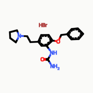 Br.NC(=O)Nc1cc(CCN2CCCC2)ccc1OCc1ccccc1